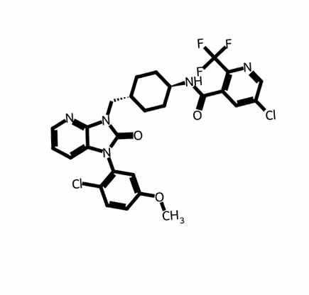 COc1ccc(Cl)c(-n2c(=O)n(C[C@H]3CC[C@H](NC(=O)c4cc(Cl)cnc4C(F)(F)F)CC3)c3ncccc32)c1